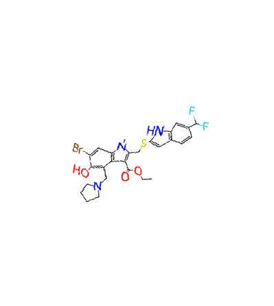 CCOC(=O)c1c(CSc2cc3ccc(C(F)F)cc3[nH]2)n(C)c2cc(Br)c(O)c(CN3CCCC3)c12